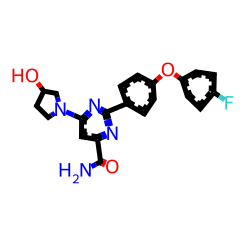 NC(=O)c1cc(N2CCC(O)C2)nc(-c2ccc(Oc3ccc(F)cc3)cc2)n1